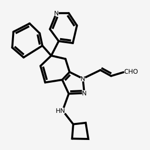 O=CC=Cn1nc(NC2CCC2)c2c1CC(c1ccccc1)(c1cccnc1)C=C2